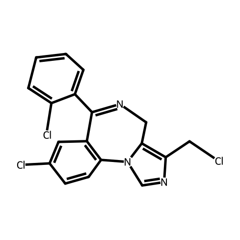 ClCc1ncn2c1CN=C(c1ccccc1Cl)c1cc(Cl)ccc1-2